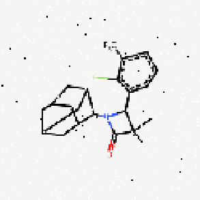 CC1(C)C(=O)N(C2C3CC4CC(C3)CC2C4)C1c1cccc(C(F)(F)F)c1F